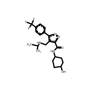 CC(C)NCc1c(C(=O)NC2CCC(O)CC2)noc1-c1ccc(C(F)(F)F)cc1